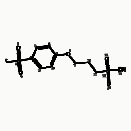 CS(=O)(=O)c1ccc(OCCCS(=O)(=O)O)cc1